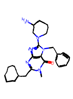 Cn1c(CC2CCCCC2)nc2nc(N3CCCC(N)C3)n(Cc3ccccc3)c2c1=O